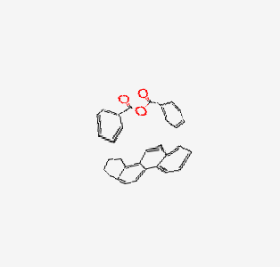 O=C(OC(=O)c1ccccc1)c1ccccc1.c1ccc2c(c1)ccc1c3c(ccc12)CCCC3